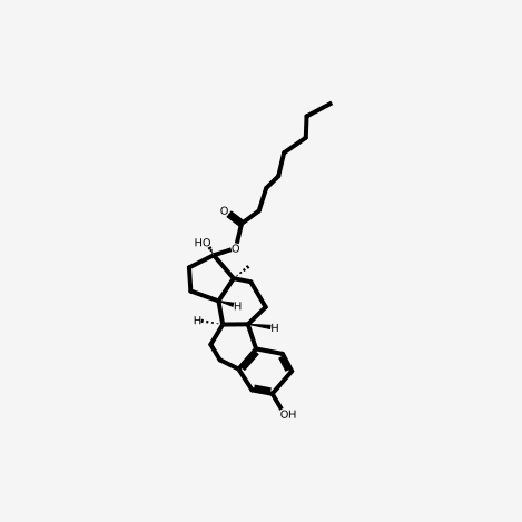 CCCCCCCC(=O)O[C@]1(O)CC[C@H]2[C@@H]3CCc4cc(O)ccc4[C@H]3CC[C@@]21C